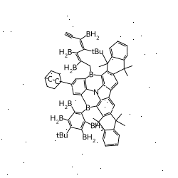 B/C(CB1c2cc(C34CCC(CC3)CC4)cc3c2-n2c4c1c1c(cc4c4cc5c(c(c42)B3c2c(B)c(B)c(C(C)(C)C)c(B)c2B)C(C)(C)c2ccccc2C5(C)C)C(C)(C)c2ccccc2C1(C)C)=C(B)/C(=C(/B)C#C)C(C)(C)C